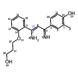 Cc1cc(C(=N)/C=C(\N)c2ccccc2OCCCO)ccc1O